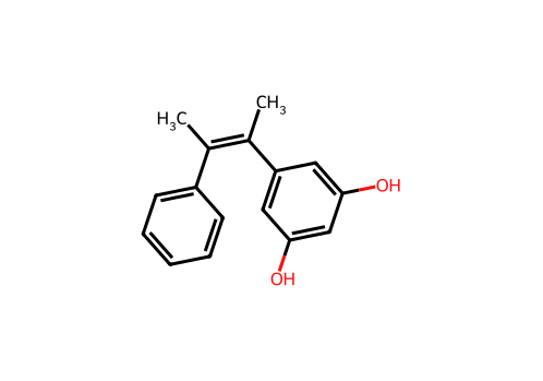 CC(=C(C)c1cc(O)cc(O)c1)c1ccccc1